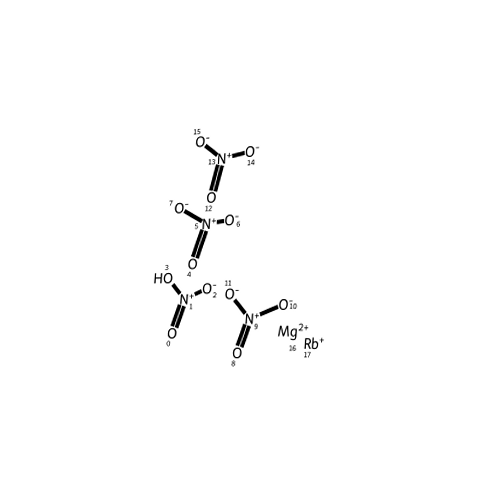 O=[N+]([O-])O.O=[N+]([O-])[O-].O=[N+]([O-])[O-].O=[N+]([O-])[O-].[Mg+2].[Rb+]